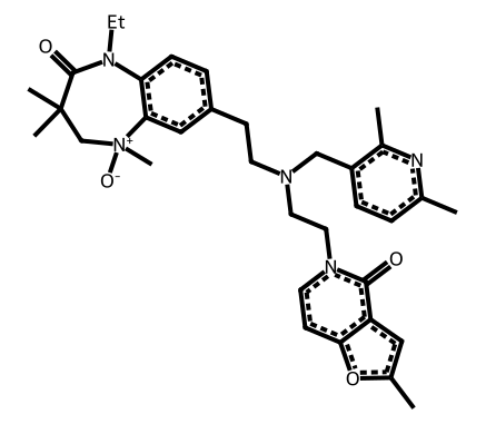 CCN1C(=O)C(C)(C)C[N+](C)([O-])c2cc(CCN(CCn3ccc4oc(C)cc4c3=O)Cc3ccc(C)nc3C)ccc21